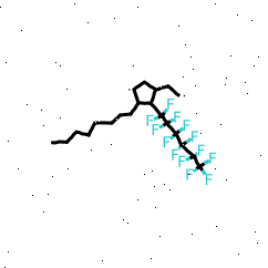 [CH2]CC1C[CH]C(CCCCCCCC)C1C(F)(F)C(F)(F)C(F)(F)C(F)(F)C(F)(F)C(F)(F)F